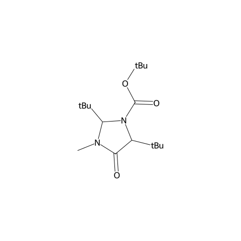 CN1C(=O)C(C(C)(C)C)N(C(=O)OC(C)(C)C)C1C(C)(C)C